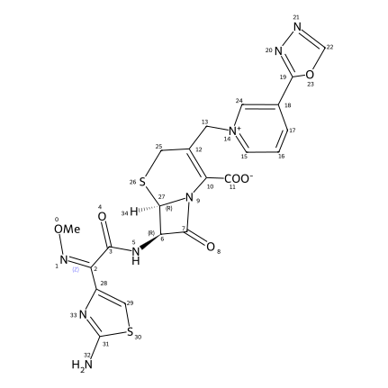 CO/N=C(\C(=O)N[C@@H]1C(=O)N2C(C(=O)[O-])=C(C[n+]3cccc(-c4nnco4)c3)CS[C@H]12)c1csc(N)n1